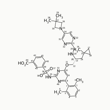 Cc1cccc(C)c1-c1cc(OC[C@@H](CC2(C)CC2)NCc2ncc(N3CC(C)(C)C3)cn2)nc(NS(=O)(=O)c2cccc(C(=O)O)c2)n1